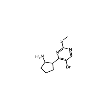 CSc1ncc(Br)c(C2CCCC2N)n1